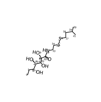 CC[C@@H](O)[C@@H](O)[C@H](O)[C@@H](O)C(=O)NCCSSCCC(C)C